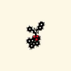 c1ccc(-c2cc(-c3ccc(-c4cccc5c4C4(c6ccccc6-5)c5ccccc5-c5oc6ccccc6c54)cc3)nc(-c3ccc4ccccc4c3)n2)cc1